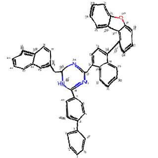 c1ccc(-c2ccc(C3=NC(c4ccc(-c5cccc6oc7ccccc7c56)c5ccccc45)=NC(c4ccc5ccccc5c4)N3)cc2)cc1